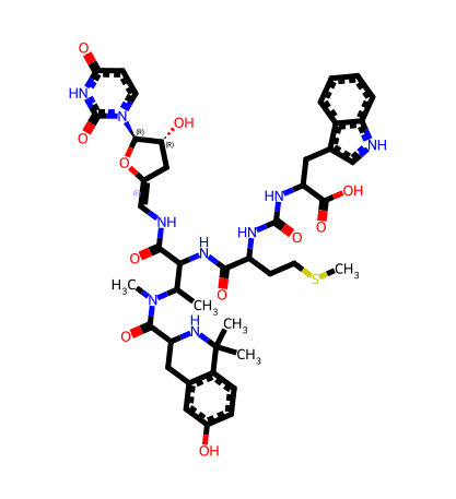 CSCCC(NC(=O)NC(Cc1c[nH]c2ccccc12)C(=O)O)C(=O)NC(C(=O)N/C=C1\C[C@@H](O)[C@H](n2ccc(=O)[nH]c2=O)O1)C(C)N(C)C(=O)C1Cc2cc(O)ccc2C(C)(C)N1